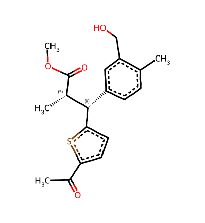 COC(=O)[C@@H](C)[C@H](c1ccc(C)c(CO)c1)c1ccc(C(C)=O)s1